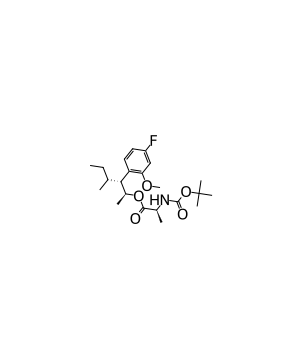 CCC(C)[C@H](c1ccc(F)cc1OC)[C@H](C)OC(=O)[C@H](C)NC(=O)OC(C)(C)C